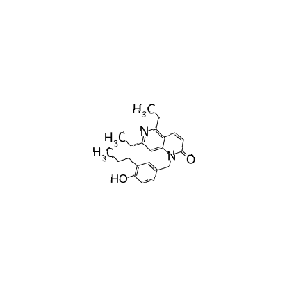 CCCc1cc(Cn2c(=O)ccc3c(CC)nc(CC)cc32)ccc1O